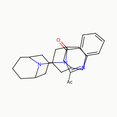 CC(=O)c1nc2ccccc2c(=O)n1C1CC2CCCC(C1)N2C1CC2CCCC(C2)C1